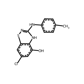 Cc1ccc(NC2=NSc3cc(Cl)cc(O)c3N2)cc1